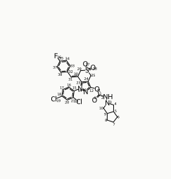 O=C(NN1CC2CCCC2C1)Oc1nn(-c2ccc(Cl)cc2Cl)c2c1CS(=O)(=O)C/C2=C\c1ccc(F)cc1